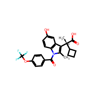 Cc1c([C@](C)(C(=O)O)C2CCC2)c2cc(O)ccc2n1C(=O)c1ccc(OC(F)(F)F)cc1